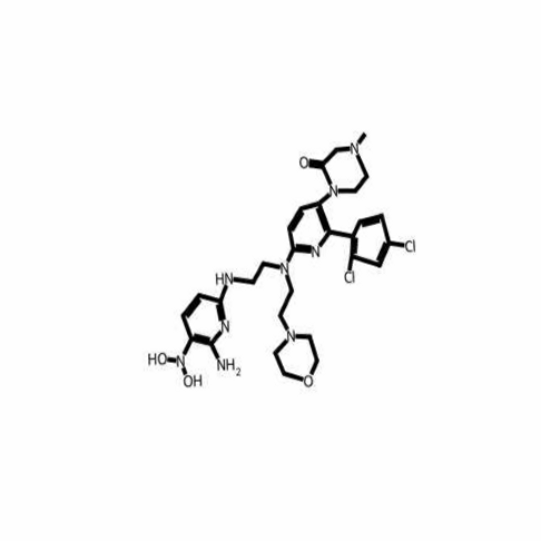 CN1CCN(c2ccc(N(CCNc3ccc(N(O)O)c(N)n3)CCN3CCOCC3)nc2-c2ccc(Cl)cc2Cl)C(=O)C1